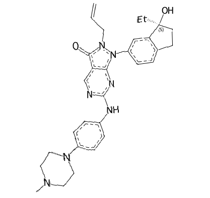 C=CCn1c(=O)c2cnc(Nc3ccc(N4CCN(C)CC4)cc3)nc2n1-c1ccc2c(c1)[C@](O)(CC)CC2